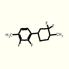 Cc1ccc(C2CCC(C)C(F)(F)C2)c(F)c1F